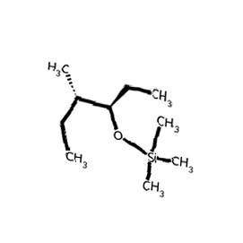 CC[C@H](C)[C@@H](CC)O[Si](C)(C)C